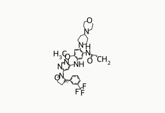 C=CC(=O)Nc1cc(Nc2cc(N3OCC[C@@H]3c3cccc(C(F)(F)F)c3)ncn2)c(OC)cc1N1CCC(N2CCOCC2)CC1